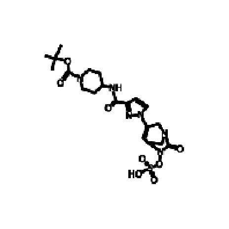 CC(C)(C)OC(=O)N1CCC(NC(=O)c2ccn(C3=CC4CN(C3)C(=O)N4OS(=O)(=O)O)n2)CC1